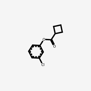 O=C(Oc1cccc(Cl)c1)C1CCC1